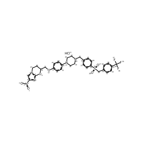 Cl.O=[N+]([O-])c1cn2c(n1)OC(COc1ccc(N3CCN(Cc4ccc(S(=O)(=O)Cc5ccc(C(F)(F)F)cc5)cc4)CC3)cc1)CC2